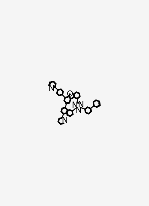 c1ccc(-c2cccc(-c3nc(-c4ccccc4)nc(-c4cccc5oc6c(-c7ccc(-c8ccccn8)cc7)cc(-c7ccc(-c8ccccn8)cc7)cc6c45)n3)c2)cc1